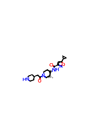 C[C@@H]1CN(C(=O)CC2CCNCC2)CC[C@@H]1NC(=O)c1cc(C2CC2)on1